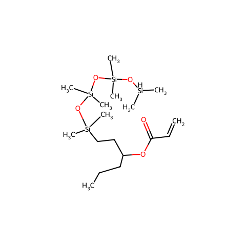 C=CC(=O)OC(CCC)CC[Si](C)(C)O[Si](C)(C)O[Si](C)(C)O[SiH](C)C